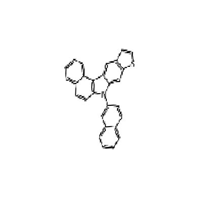 c1ccc2cc(-n3c4cc5sccc5cc4c4c5ccccc5ccc43)ccc2c1